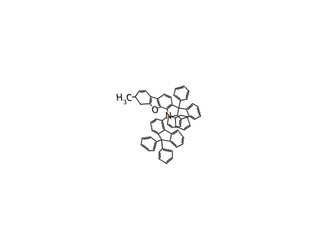 CC1C=Cc2c(oc3c(N(c4cccc5c4-c4ccccc4C5(c4ccccc4)c4ccccc4)C4CC=CCC4)c(C4(c5ccccc5)c5ccccc5C5=CC=CCC54)ccc23)C1